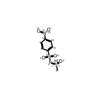 C/[SH](=O)=N/S(=O)(=O)c1ccc([N+](=O)[O-])cc1